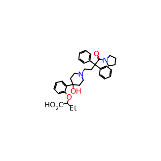 CCC(Oc1ccccc1C1(O)CCN(CCC(C(=O)N2CCCC2)(c2ccccc2)c2ccccc2)CC1)C(=O)O